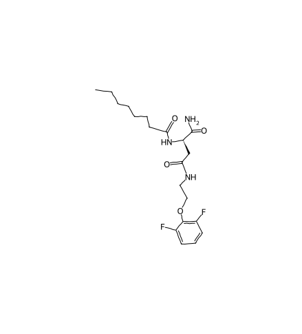 CCCCCCCC(=O)N[C@H](CC(=O)NCCOc1c(F)cccc1F)C(N)=O